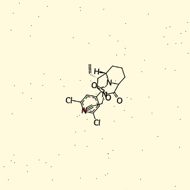 C=C[C@H]1CN(CC#N)C(=O)C2CCC[C@@H]1N2S(=O)(=O)c1cc(Cl)cc(Cl)c1